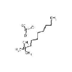 CCCCCCCC[N+](C)(C)C.[O-][Br+2]([O-])[O-]